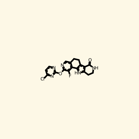 O=C1NCCc2[nH]c3c(c21)CCc1cnc(Oc2nccc(Cl)n2)c(F)c1-3